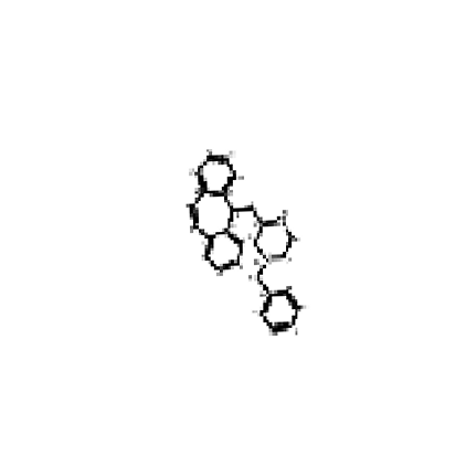 C1=Cc2ccccc2C(CC2CN(Cc3ccccc3)CCO2)c2ccccc21